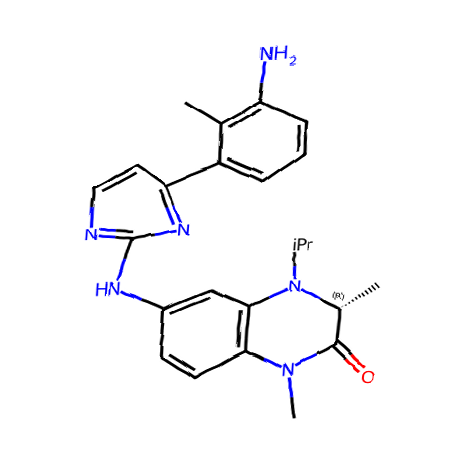 Cc1c(N)cccc1-c1ccnc(Nc2ccc3c(c2)N(C(C)C)[C@H](C)C(=O)N3C)n1